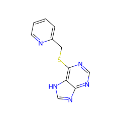 c1ccc(CSc2ncnc3nc[nH]c23)nc1